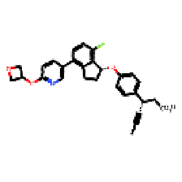 CC#C[C@@H](CC(=O)O)c1ccc(O[C@@H]2CCc3c(-c4ccc(OC5COC5)nc4)ccc(F)c32)cc1